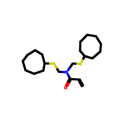 C=CC(=O)N(CSC1CCCCCCC1)CSC1CCCCCCC1